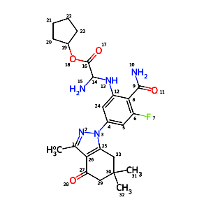 Cc1nn(-c2cc(F)c(C(N)=O)c(NC(N)C(=O)OC3CCCC3)c2)c2c1C(=O)CC(C)(C)C2